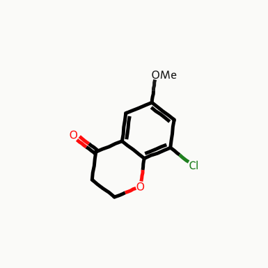 COc1cc(Cl)c2c(c1)C(=O)CCO2